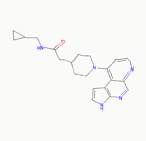 O=C(CC1CCN(c2ccnc3cnc4[nH]ccc4c23)CC1)NCC1CC1